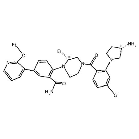 CCOc1ncccc1-c1ccc(N2CCN(C(=O)c3ccc(Cl)cc3N3CC[C@H](N)C3)C[C@H]2CC)c(C(N)=O)c1